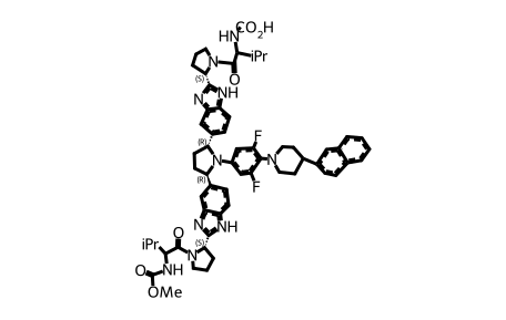 COC(=O)NC(C(=O)N1CCC[C@H]1c1nc2cc([C@H]3CC[C@H](c4ccc5[nH]c([C@@H]6CCCN6C(=O)C(NC(=O)O)C(C)C)nc5c4)N3c3cc(F)c(N4CCC(c5ccc6ccccc6c5)CC4)c(F)c3)ccc2[nH]1)C(C)C